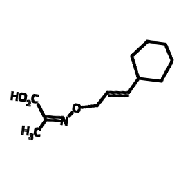 C/C(=N/OC/C=C/C1CCCCC1)C(=O)O